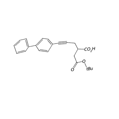 CC(C)(C)OC(=O)CC(CC#Cc1ccc(-c2ccccc2)cc1)C(=O)O